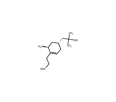 C[C@H]1C[C@H](CC(C)(C)O)CC=C1CCC=O